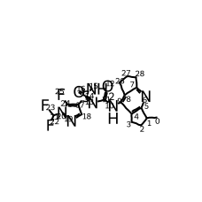 CC1CCc2c1nc1c(c2NC(=O)N=S(N)(=O)c2cnn(C(F)F)c2F)CCC1